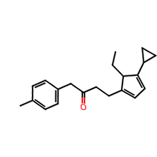 CCC1C(CCC(=O)Cc2ccc(C)cc2)=CC=C1C1CC1